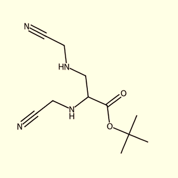 CC(C)(C)OC(=O)C(CNCC#N)NCC#N